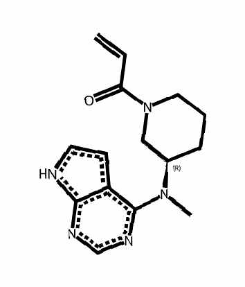 C=CC(=O)N1CCC[C@@H](N(C)c2ncnc3[nH]ccc23)C1